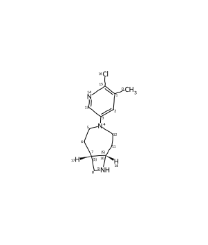 Cc1cc(N2CC[C@H]3CN[C@H]3CC2)cnc1Cl